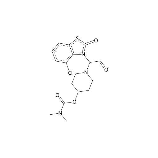 CN(C)C(=O)OC1CCN(C(C=O)n2c(=O)sc3cccc(Cl)c32)CC1